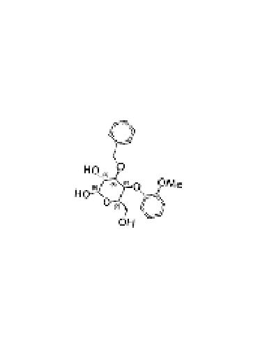 COc1ccccc1O[C@@H]1[C@H](OCc2ccccc2)[C@@H](O)[C@H](O)O[C@@H]1CO